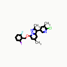 Cc1cc(OCc2c(F)cccc2I)n2nc(C)c(-c3cnc(Cl)c(C)c3)c2c1